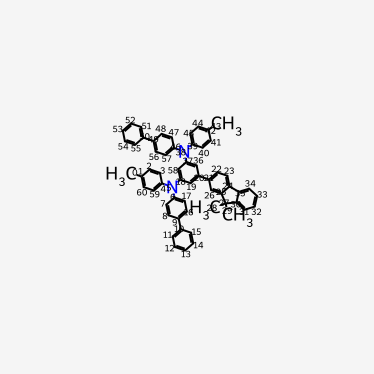 Cc1ccc(N(c2ccc(-c3ccccc3)cc2)c2cc(-c3ccc4c(c3)C(C)(C)c3ccccc3-4)cc(N(c3ccc(C)cc3)c3ccc(-c4ccccc4)cc3)c2)cc1